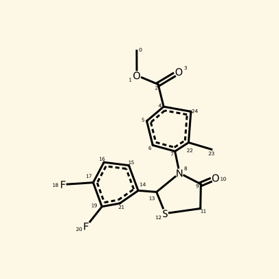 COC(=O)c1ccc(N2C(=O)CSC2c2ccc(F)c(F)c2)c(C)c1